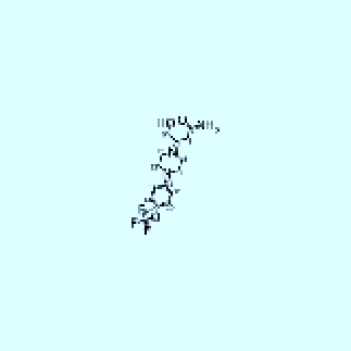 NC(=O)CC(CO)N1CCN(c2ccc(OC(F)(F)F)cc2)CC1